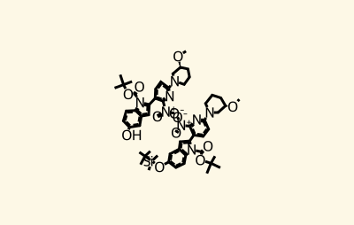 CO[C@H]1CCCN(c2ccc(-c3cc4cc(O)ccc4n3C(=O)OC(C)(C)C)c([N+](=O)[O-])n2)C1.CO[C@H]1CCCN(c2ccc(-c3cc4cc(O[Si](C)(C)C(C)(C)C)ccc4n3C(=O)OC(C)(C)C)c([N+](=O)[O-])n2)C1